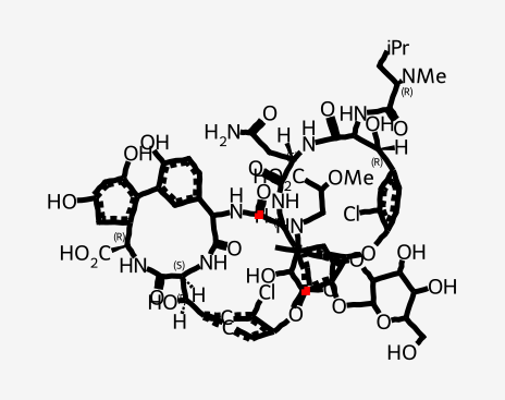 CN[C@H](CC(C)C)C(=O)NC1C(=O)N[C@@H](CC(N)=O)C(=O)N[C@H]2C(=O)NC3C(=O)N[C@H](C(=O)N[C@@H](C(=O)O)c4cc(O)cc(O)c4-c4cc3ccc4O)[C@H](O)c3ccc(c(Cl)c3)Oc3cc2cc(c3OC2OC(CO)C(O)C(O)C2OC2CC(C)(NCC(OC)C(=O)O)C(O)C(C)O2)Oc2ccc(cc2Cl)[C@H]1O